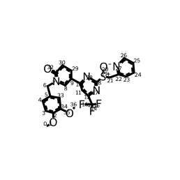 COc1ccc(Cn2cc(-c3cc(C(F)(F)F)nc([S+]([O-])Cc4ccccn4)n3)ccc2=O)cc1OC